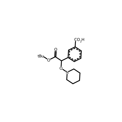 CC(C)(C)OC(=O)C(ON1CCCCC1)c1cccc(C(=O)O)c1